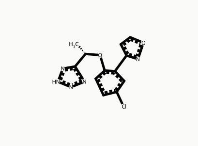 C[C@H](Oc1ccc(Cl)cc1-c1ccon1)c1nn[nH]n1